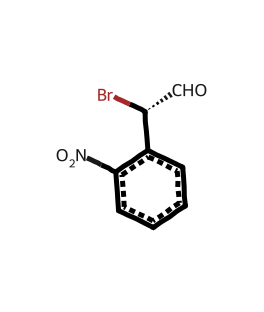 O=C[C@@H](Br)c1ccccc1[N+](=O)[O-]